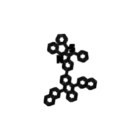 c1ccc(-c2nc3cc(-c4ccc5c(-c6ccc7ccccc7c6)c6ccccc6c(-c6ccc7ccccc7c6)c5c4)ccc3c3c(-c4ccccc4)sc(-c4ccccc4)c23)cc1